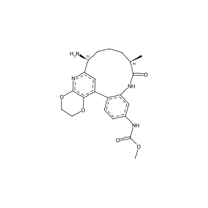 COC(=O)Nc1ccc2c(c1)NC(=O)[C@H](C)CCC[C@H](N)c1cc-2c2c(n1)OCCO2